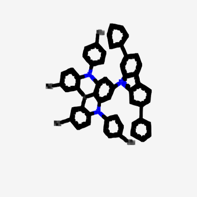 CC(C)(C)c1ccc(N2c3ccc(C#N)cc3B3c4cc(C#N)ccc4N(c4ccc(C(C)(C)C)cc4)c4cc(-n5c6cc(-c7ccccc7)ccc6c6ccc(-c7ccccc7)cc65)cc2c43)cc1